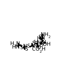 N=C(N)CSc1csc(SCC2=C(C(=O)O)N3C(=O)[C@@H](NC(=O)/C(=N\O)c4csc(N)n4)[C@@H]3SC2)n1